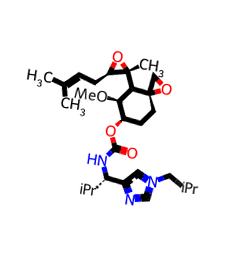 CO[C@H]1C([C@@]2(C)O[C@@H]2CC=C(C)C)[C@]2(CC[C@H]1OC(=O)N[C@H](c1cn(CC(C)C)cn1)C(C)C)CO2